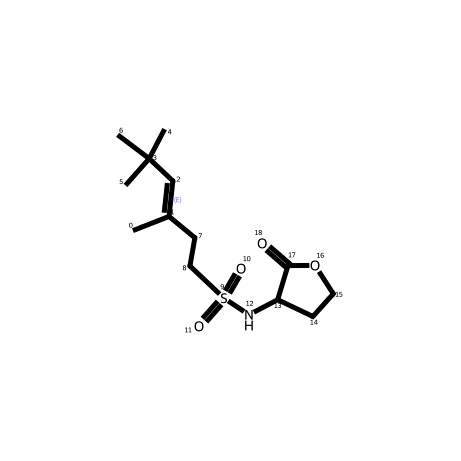 C/C(=C\C(C)(C)C)CCS(=O)(=O)NC1CCOC1=O